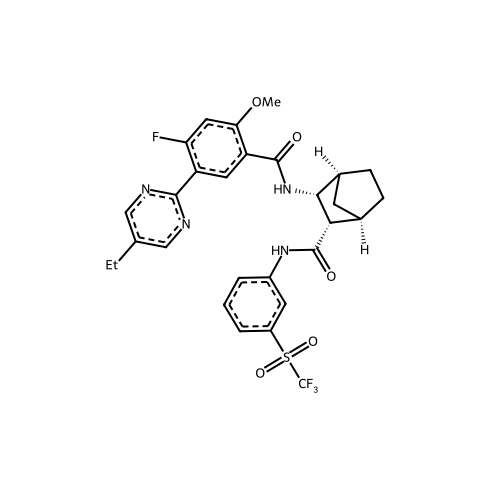 CCc1cnc(-c2cc(C(=O)N[C@@H]3[C@H]4CC[C@H](C4)[C@@H]3C(=O)Nc3cccc(S(=O)(=O)C(F)(F)F)c3)c(OC)cc2F)nc1